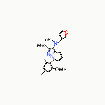 CCCN(Cc1ccoc1)c1c(SC)nn2c(-c3c(C)cc(C)cc3OC)cccc12